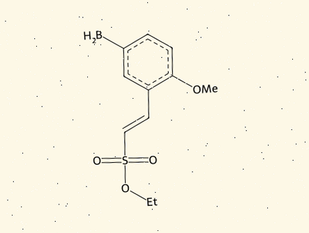 Bc1ccc(OC)c(/C=C/S(=O)(=O)OCC)c1